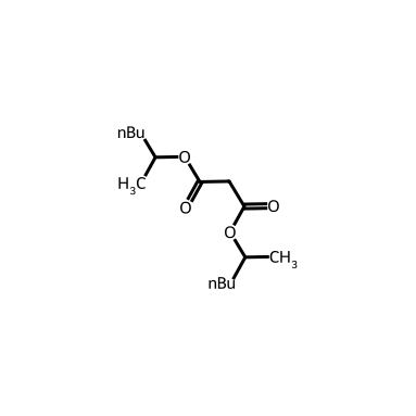 CCCCC(C)OC(=O)CC(=O)OC(C)CCCC